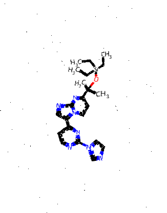 CC[Si](CC)(CC)OC(C)(C)c1ccn2c(-c3ccnc(-n4ccnc4)n3)cnc2n1